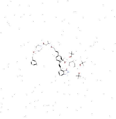 CC(CC(=O)N1CCN(C(=O)OCc2ccccc2)CC1)NC(=O)CC=Cc1ccc(C#Cc2cccc3[nH]nc(O[C@@H]4O[C@H](COC(=O)C(C)(C)C)[C@@H](OC(=O)C(C)(C)C)[C@H](OC(=O)C(C)(C)C)[C@H]4OC(=O)C(C)(C)C)c23)cc1